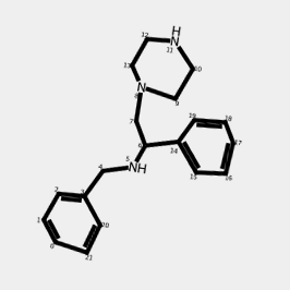 c1ccc(CNC(CN2CCNCC2)c2ccccc2)cc1